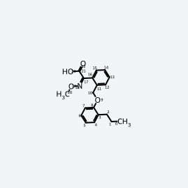 CCCc1ccccc1OCc1ccccc1C(=NOC)C(=O)O